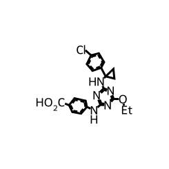 CCOc1nc(Nc2ccc(C(=O)O)cc2)nc(NC2(c3ccc(Cl)cc3)CC2)n1